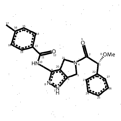 CO[C@@H](C(=O)N1Cc2[nH]nc(NC(=O)c3ccc(C)cc3)c2C1)c1ccccc1